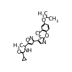 CC(C)Oc1ccc(Oc2ncc(-c3cc(C(C)NC(=O)C4CC4)on3)s2)c(Cl)c1